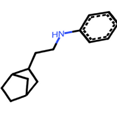 [c]1ccc(NCCC2CC3CCC2C3)cc1